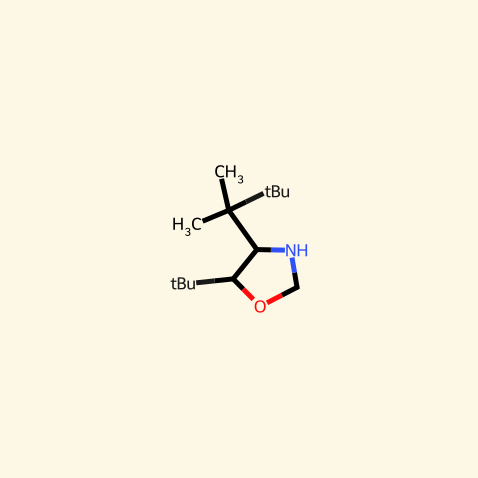 CC(C)(C)C1OCNC1C(C)(C)C(C)(C)C